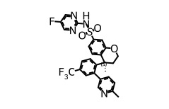 Cc1ccc(-c2cc(C(F)(F)F)ccc2[C@]2(C)CCOc3cc(S(=O)(=O)Nc4ncc(F)cn4)ccc32)cn1